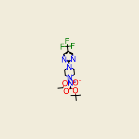 CCO[N+]([O-])(C(=O)OC(C)(C)C)N1CCN(c2ncc(C(F)(F)F)cn2)CC1